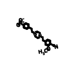 COc1cc(CCN2CCN(CCc3ccc([N+](=O)[O-])cc3)CC2)ccc1C#N